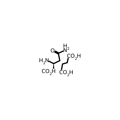 NC(=O)C[C@H](N)C(=O)O.O=C(O)CCC(=O)O